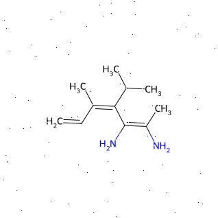 C=C/C(C)=C(\C(N)=C(/C)N)C(C)C